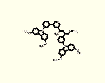 C=N/C=C(\C=C(/C)c1cncc(-c2cccc(-n3c4ccc(OC)cc4c4cc(OC)ccc43)c2)c1)c1cccc(-n2c3ccc(OC)cc3c3cc(OC)ccc32)c1